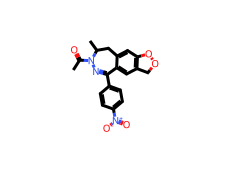 CC(=O)N1N=C(c2ccc([N+](=O)[O-])cc2)c2cc3c(cc2CC1C)OOC3